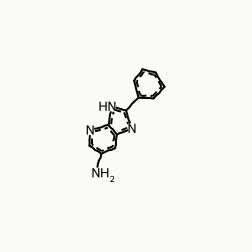 Nc1cnc2[nH]c(-c3ccccc3)nc2c1